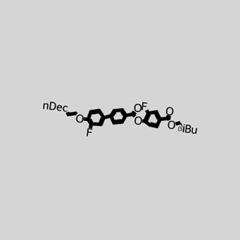 CCCCCCCCCCCCOc1ccc(-c2ccc(C(=O)Oc3ccc(C(=O)OC[C@@H](C)CC)cc3F)cc2)cc1F